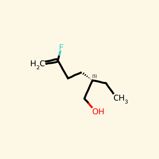 C=C(F)CC[C@H](CC)CO